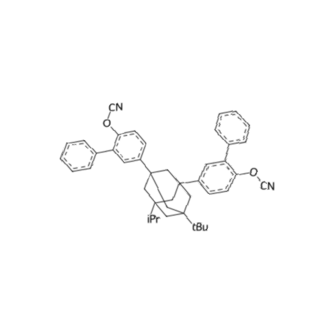 CC(C)C12CC3(c4ccc(OC#N)c(-c5ccccc5)c4)CC(c4ccc(OC#N)c(-c5ccccc5)c4)(C1)CC(C(C)(C)C)(C3)C2